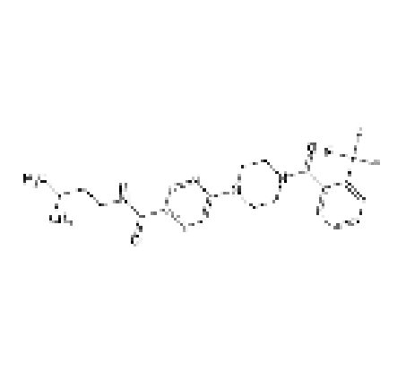 CC(C)CCNC(=O)c1cnc(N2CCN(C(=O)c3ccccc3C(F)(F)F)CC2)cn1